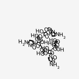 Nc1ccn([C@@H]2O[C@H](COP(=O)(O)O[C@@H]3[C@H](O)[C@@H](COP(=O)(O)O[C@@H]4[C@H](O)[C@@H](COP(=O)(O)OP(=O)(O)O)O[C@H]4n4ccc(N)nc4=O)O[C@H]3n3ccc(N)nc3=O)[C@@H](O)[C@H]2O)c(=O)n1